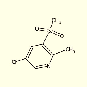 Cc1ncc(Cl)cc1S(C)(=O)=O